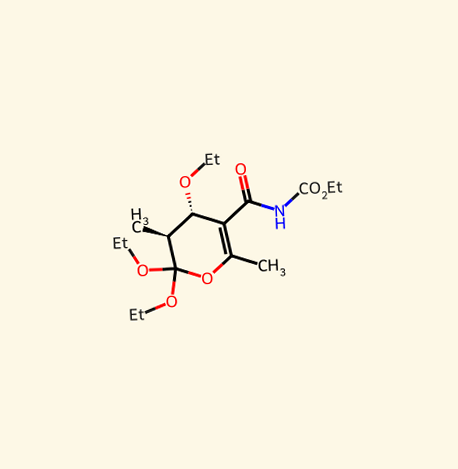 CCOC(=O)NC(=O)C1=C(C)OC(OCC)(OCC)[C@@H](C)[C@@H]1OCC